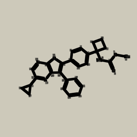 CC(C)(C)OC(=O)NC1(c2ccc(-c3oc4ncc(C5CC5)nc4c3-c3ccccc3)cc2)CCC1